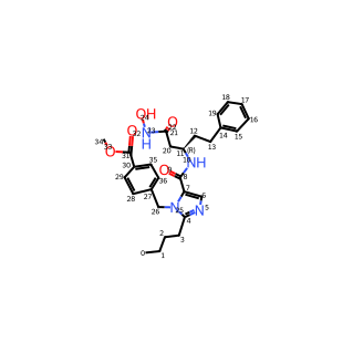 CCCCc1ncc(C(=O)N[C@H](CCc2ccccc2)CC(=O)NO)n1Cc1ccc(C(=O)OC)cc1